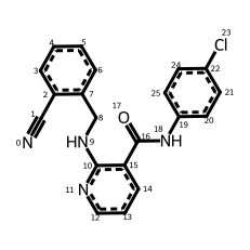 N#Cc1ccccc1CNc1ncccc1C(=O)Nc1ccc(Cl)cc1